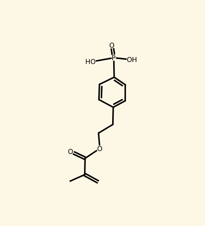 C=C(C)C(=O)OCCc1ccc(P(=O)(O)O)cc1